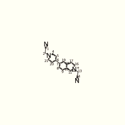 N#CC[n+]1ccc(-c2ccc3c[n+](CC#N)ccc3c2)cc1